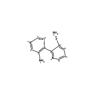 N.Nc1cnccc1-c1ncccc1F